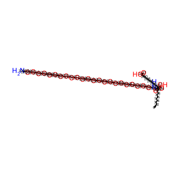 C#CCCCCCCCCCC(CCCCCCCCCCC(=O)O)(C(=O)O)C(=O)NCCOCCOCCOCCOCCOCCOCCOCCOCCOCCOCCOCCOCCOCCOCCOCCOCCOCCOCCOCCOCCOCCOCCOCCN